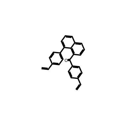 C=Cc1ccc(C(=O)c2cccc3cccc(-c4ccc(C=C)cc4)c23)cc1